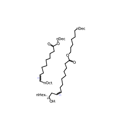 CCCCCCCC/C=C\CCCCCCCC(=O)OCCCCCCCCCC.CCCCCCCCCCCCCCCCOC(=O)CCCCCCC/C=C\C[C@H](O)CCCCCC